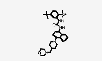 CC(C)(C)c1ccc([Si](C)(C)C)c(NC(=O)Nc2ccc(N3CCC(CN4CCOCC4)CC3)c3ccccc23)c1